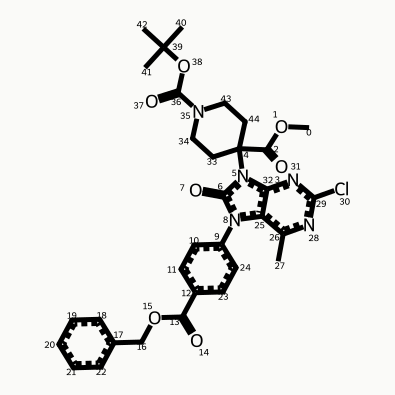 COC(=O)C1(n2c(=O)n(-c3ccc(C(=O)OCc4ccccc4)cc3)c3c(C)nc(Cl)nc32)CCN(C(=O)OC(C)(C)C)CC1